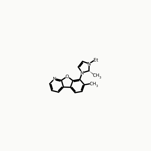 CCN1C=CN(c2c(C)ccc3c2oc2ncccc23)[C@H]1C